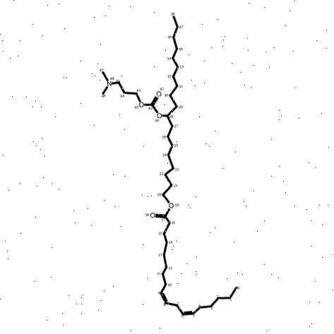 CCCCC/C=C\C/C=C\CCCCCCCC(=O)OCCCCCCCCC(CCCCCCCCCC)OC(=O)OCCCN(C)C